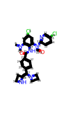 CN(C)c1cc(Cl)cc(N(C=O)c2ccc(Cl)cn2)c1NC(=O)c1ccc(C(=C2CCN2)N2CCC2)cc1